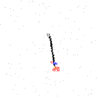 CCC=CCC=CCC=CCC=CCC=CCC=CCCC(=O)NCCSP(=O)(O)O